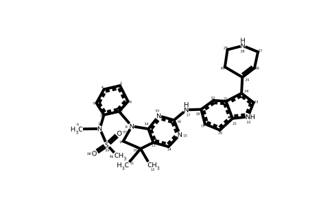 CN(c1ccccc1N1CC(C)(C)c2cnc(Nc3ccc4[nH]cc(C5=CCNCC5)c4c3)nc21)S(C)(=O)=O